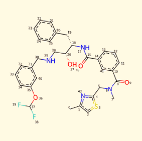 Cc1csc(CN(C)C(=O)c2cccc(C(=O)N[C@@H](Cc3ccccc3)[C@H](O)CNCc3cccc(OC(F)F)c3)c2)n1